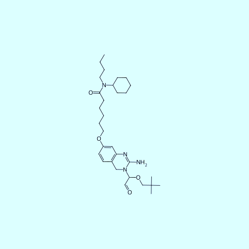 CCCCN(C(=O)CCCCCOc1ccc2c(c1)N=C(N)N(C(C=O)OCC(C)(C)C)C2)C1CCCCC1